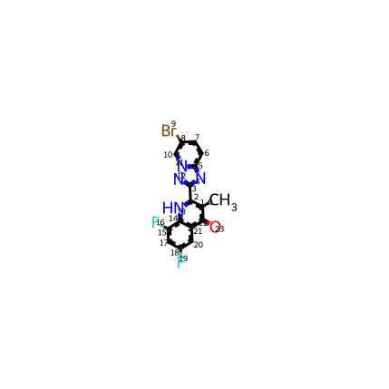 Cc1c(-c2nc3ccc(Br)cn3n2)[nH]c2c(F)cc(F)cc2c1=O